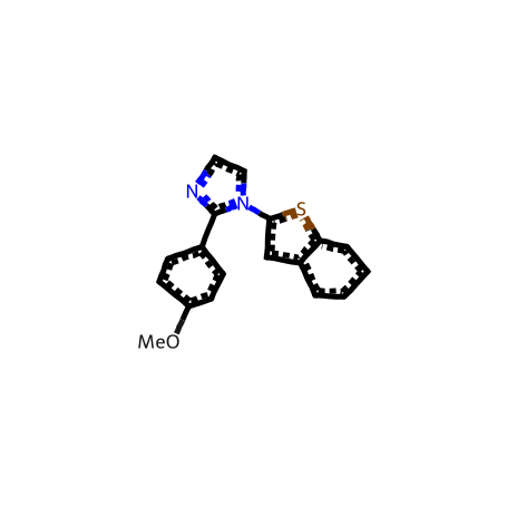 COc1ccc(-c2nccn2-c2cc3ccccc3s2)cc1